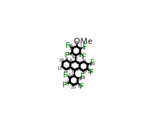 COc1c(F)c(F)c(-c2c3ccccc3c(-c3c(F)c(F)cc(F)c3F)c3cc(F)c(F)cc23)c(F)c1F